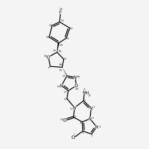 Nc1nn2ncc(Cl)c2c(=O)n1Cc1nc([C@@H]2CO[C@@H](c3ccc(F)cc3)C2)no1